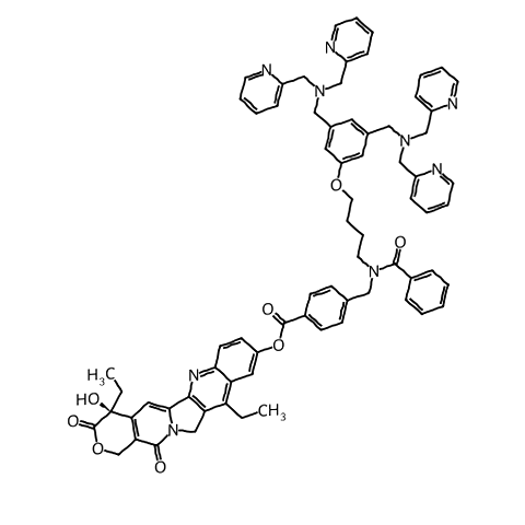 CCc1c2c(nc3ccc(OC(=O)c4ccc(CN(CCCCOc5cc(CN(Cc6ccccn6)Cc6ccccn6)cc(CN(Cc6ccccn6)Cc6ccccn6)c5)C(=O)c5ccccc5)cc4)cc13)-c1cc3c(c(=O)n1C2)COC(=O)[C@]3(O)CC